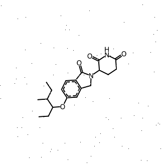 CCC(C)C(CC)Oc1ccc2c(c1)CN(C1CCC(=O)NC1=O)C2=O